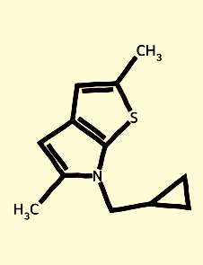 Cc1cc2cc(C)n(CC3CC3)c2s1